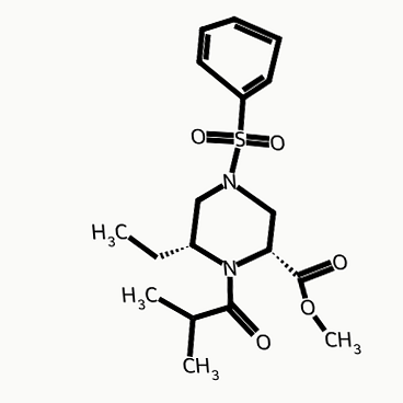 CC[C@@H]1CN(S(=O)(=O)c2ccccc2)C[C@H](C(=O)OC)N1C(=O)C(C)C